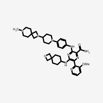 COc1cccnc1-c1nc(C(N)=O)c(Nc2ccc(N3CCC(N4CC5(CCN(C)CC5)C4)CC3)cc2)nc1NC1CCC2(CC1)COC2